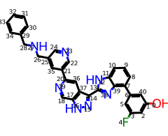 Oc1cc(F)cc(-c2cccc3[nH]c(-c4n[nH]c5cnc(-c6cncc(CNCc7ccccc7)c6)cc45)nc23)c1